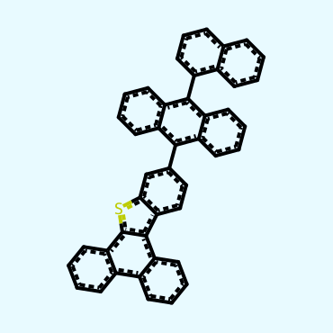 c1ccc2c(-c3c4ccccc4c(-c4ccc5c(c4)sc4c6ccccc6c6ccccc6c54)c4ccccc34)cccc2c1